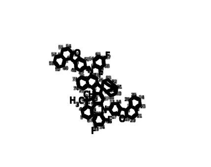 CC1(C)c2ccccc2-c2c(N(c3ccc4c(c3)oc3ccc5ccccc5c34)c3ccc(F)cc3F)cc3c(c21)-c1c(cc(N(c2ccc4c(c2)oc2ccc5ccccc5c24)c2ccc(F)cc2F)c2ccccc12)C31C2CC3CC(C2)CC1C3